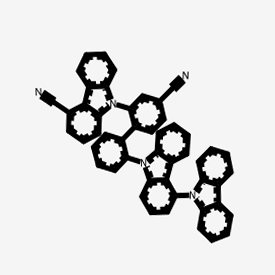 N#Cc1ccc(-c2ccccc2-n2c3ccccc3c3c(-n4c5ccccc5c5ccccc54)cccc32)c(-n2c3ccccc3c3c(C#N)cccc32)c1